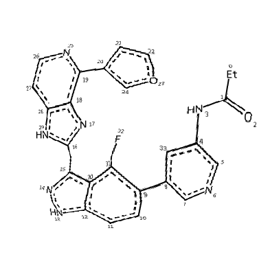 CCC(=O)Nc1cncc(-c2ccc3[nH]nc(-c4nc5c(-c6ccoc6)nccc5[nH]4)c3c2F)c1